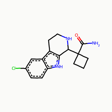 NC(=O)C1(C2NCCc3c2[nH]c2ccc(Cl)cc32)CCC1